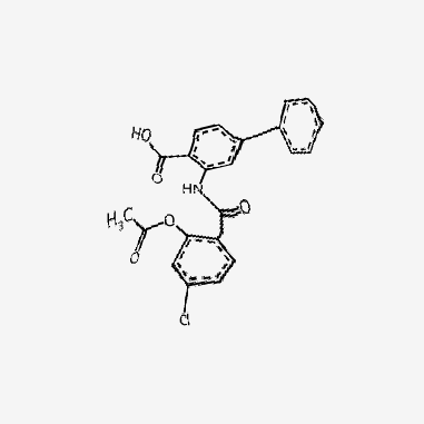 CC(=O)Oc1cc(Cl)ccc1C(=O)Nc1cc(-c2ccccc2)ccc1C(=O)O